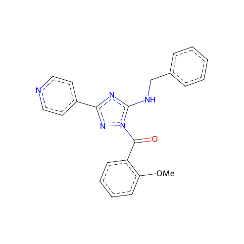 COc1ccccc1C(=O)n1nc(-c2ccncc2)nc1NCc1ccccc1